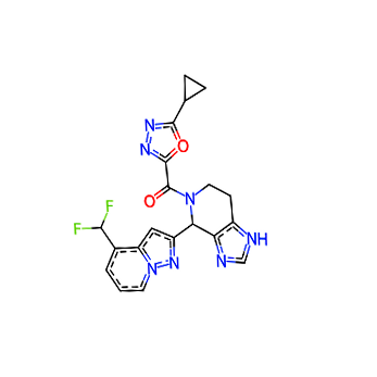 O=C(c1nnc(C2CC2)o1)N1CCc2[nH]cnc2C1c1cc2c(C(F)F)cccn2n1